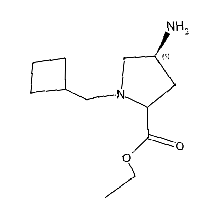 CCOC(=O)C1C[C@H](N)CN1CC1CCC1